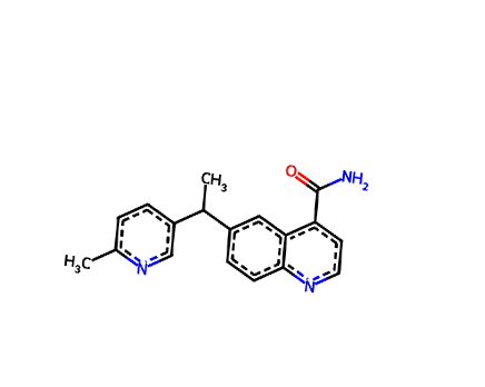 Cc1ccc(C(C)c2ccc3nccc(C(N)=O)c3c2)cn1